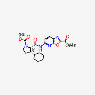 COC(=O)c1nc2ccc(NC(=O)[C@@H]3[C@H](C4CCCCC4)CCN3C(=O)OC(C)(C)C)nc2o1